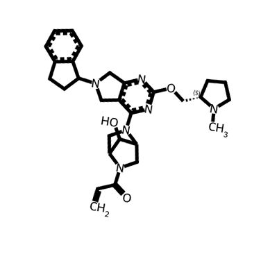 C=CC(=O)N1CC2C(O)C1CN2c1nc(OC[C@@H]2CCCN2C)nc2c1CN(C1CCc3ccccc31)C2